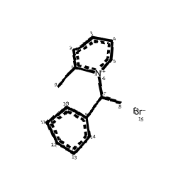 Cc1cccc[n+]1C(C)c1ccccc1.[Br-]